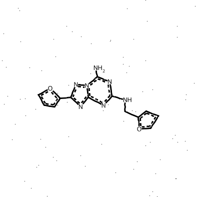 Nc1nc(NCc2ccco2)nc2nc(-c3ccco3)nn12